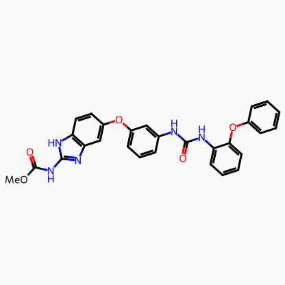 COC(=O)Nc1nc2cc(Oc3cccc(NC(=O)Nc4ccccc4Oc4ccccc4)c3)ccc2[nH]1